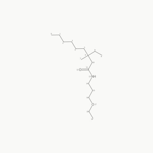 CCCCCCC(C)(CC)CC(=O)NCCCOCC